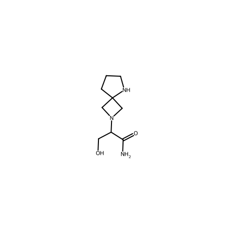 NC(=O)C(CO)N1CC2(CCCN2)C1